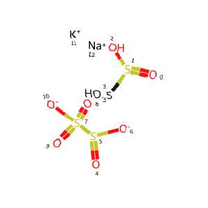 O=S(O)S(=O)(=O)O.O=S([O-])S(=O)(=O)[O-].[K+].[Na+]